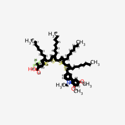 CCCCCCCCc1cc(-c2sc(-c3sc(-c4sc(/C=C(/C(=O)O)C(F)(F)F)cc4CCCCCCCC)cc3CCCCCCCC)cc2CCCCCCCC)sc1-c1ccc2c(c1)c1cc(OC)cc(OC)c1n2CC